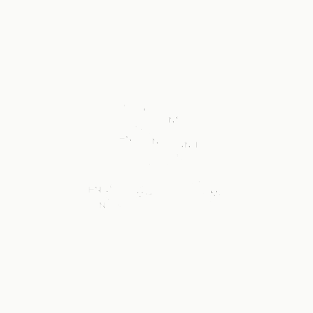 COc1cc(Nc2ncc(F)c(Nc3ccc4c(c3)NNC4)n2)cc(OC)c1